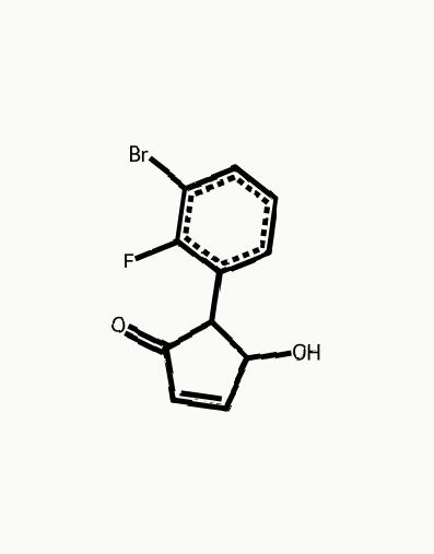 O=C1C=CC(O)C1c1cccc(Br)c1F